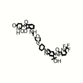 CC(C)(O)c1cc2nn([C@H]3CC[C@H](CN4CCO[C@@H](CCNc5cccc6c5C(=O)N(C5CCC(=O)NC5=O)C6=O)C4)CC3)cc2cc1NC(=O)c1cccc(C(F)(F)F)n1